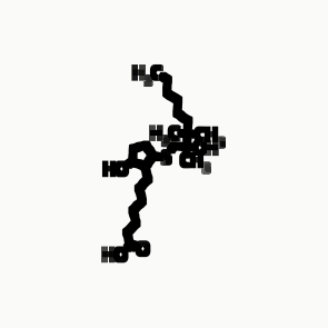 CCCCCCC(C)(C)C(C)(O)CSC1CCC(O)C1CCCCCCC(=O)O